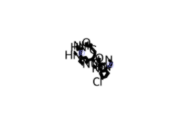 CN/C1=C(\C=N)NC(=O)C(C)CCCC(n2cnc(-c3cc(Cl)ccc3N/C=C\N)c(C)c2=O)c2cc1ccn2